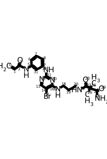 C=CC(=O)Nc1cccc(Nc2ncc(Br)c(NCCCNC(=O)C(C)(C)C(N)=O)n2)c1